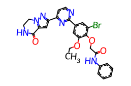 CCOc1cc(-c2nccc(-c3cc4n(n3)CCNC4=O)n2)cc(Br)c1OCC(=O)Nc1ccccc1